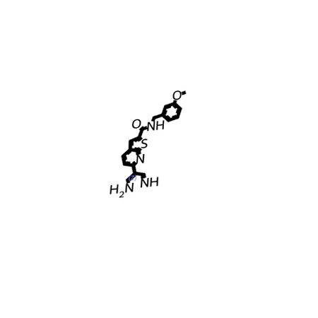 COc1cccc(CNC(=O)c2cc3ccc(/C(C=N)=C/N)nc3s2)c1